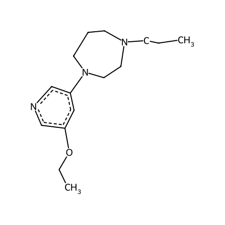 CCCN1CCCN(c2cncc(OCC)c2)CC1